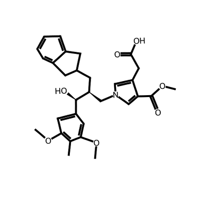 COC(=O)c1cn(C[C@H](CC2Cc3ccccc3C2)[C@H](O)c2cc(OC)c(C)c(OC)c2)cc1CC(=O)O